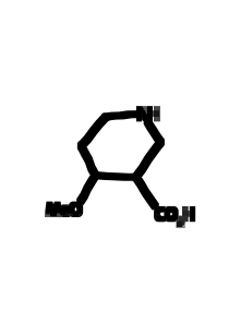 COC1CCNCC1C(=O)O